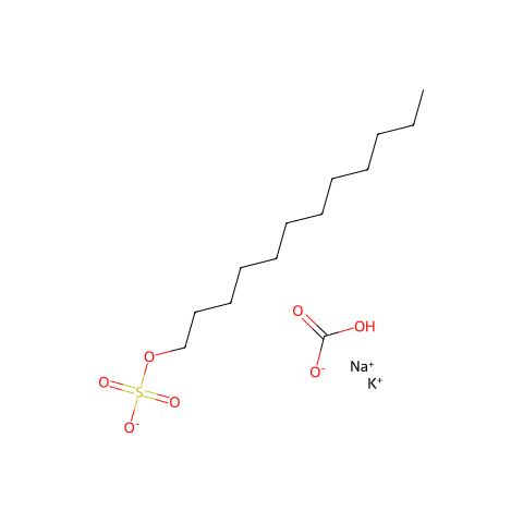 CCCCCCCCCCCCOS(=O)(=O)[O-].O=C([O-])O.[K+].[Na+]